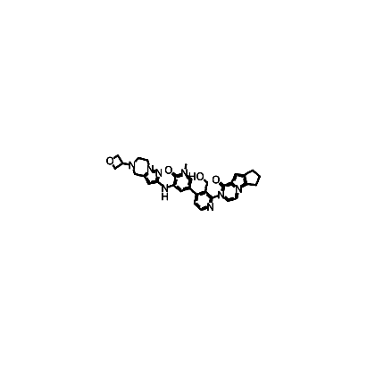 Cn1cc(-c2ccnc(-n3ccn4c5c(cc4c3=O)CCC5)c2CO)cc(Nc2cc3n(n2)CCN(C2COC2)C3)c1=O